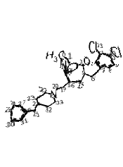 CCOC(=O)C(Cc1ccc(Cl)c(Cl)c1)CC(C#N)CCN1CCC(Cc2ccccc2)CC1